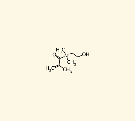 C=C(C)C(=O)[N+](C)(C)CCO